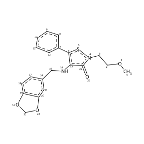 COCCn1sc(-c2ccccc2)c(NCc2ccc3c(c2)OCO3)c1=O